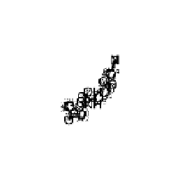 N#Cc1ccc(S(=O)(=O)N2CCc3ccc(C(NC(=O)c4cccc5c4-c4ccccc4C5=O)C(=O)O)cc3C2)cc1